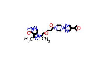 Cc1nn(C(C)COCCC(=O)N2CCN(c3ncc(C4COC4)cn3)CC2)c2cn[nH]c(=O)c12